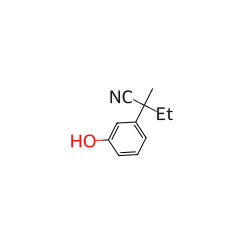 CCC(C)(C#N)c1cccc(O)c1